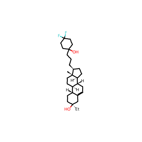 CC[C@]1(O)CC[C@H]2C(=CC[C@@H]3[C@@H]2CC[C@]2(C)[C@@H](CCCC4(O)CCC(F)(F)CC4)CC[C@@H]32)C1